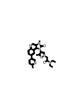 CCN(CC)C(=O)Cn1cc(-n2c(=O)n(C)c3cnc4ccc(-c5ccc(C)nc5)cc4c32)c(C)n1